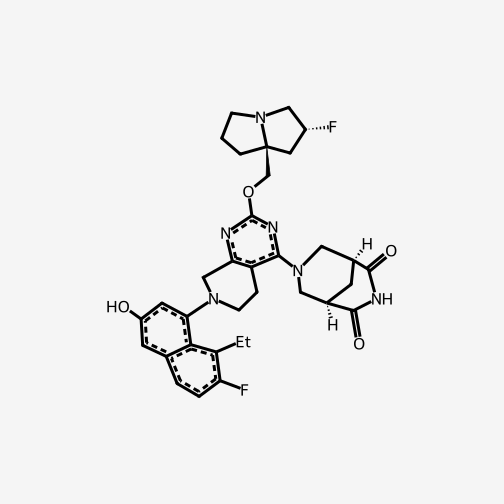 CCc1c(F)ccc2cc(O)cc(N3CCc4c(nc(OC[C@@]56CCCN5C[C@H](F)C6)nc4N4C[C@H]5C[C@@H](C4)C(=O)NC5=O)C3)c12